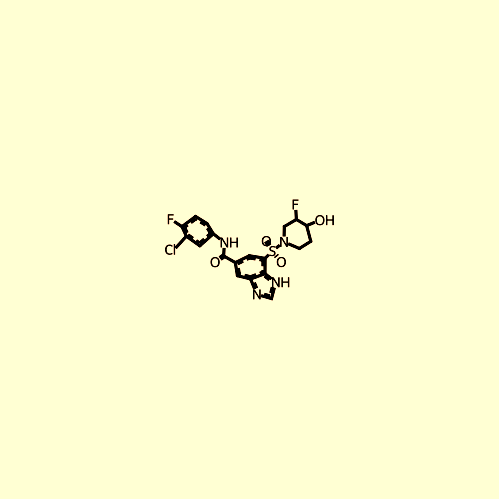 O=C(Nc1ccc(F)c(Cl)c1)c1cc(S(=O)(=O)N2CCC(O)C(F)C2)c2[nH]cnc2c1